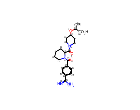 CC(C)(C)C(OC1CCN(C(=O)C2CCCCN2C(=O)c2ccc(C(=N)N)cc2)CC1)C(=O)O